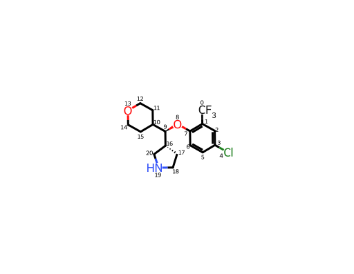 FC(F)(F)c1cc(Cl)ccc1O[C@H](C1CCOCC1)[C@@H]1CCNC1